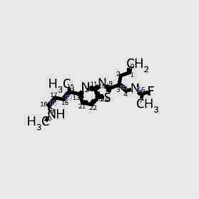 C=CC/C(=C\N=C(/C)F)c1nc2nc(/C(C)=C/C=C\NC)ccc2s1